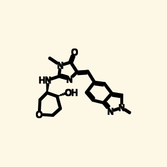 CN1C(=O)/C(=C/c2ccc3nn(C)cc3c2)N=C1N[C@@H]1COCC[C@H]1O